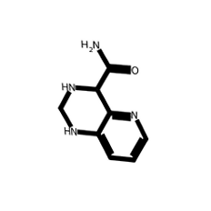 NC(=O)C1NCNc2cccnc21